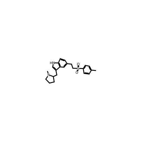 Cc1ccc(S(=O)(=O)CCc2ccc3[nH]cc(CC4CCCN4C)c3c2)cc1